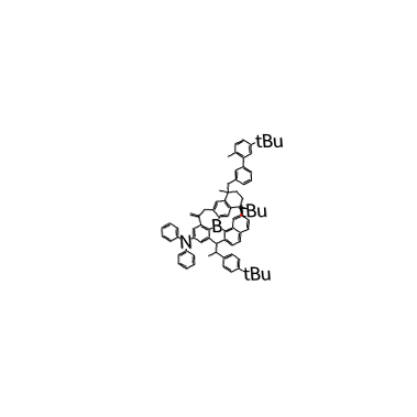 C=C1Cc2cc3c(cc2B2c4c1cc(N(c1ccccc1)c1ccccc1)cc4C(C(C)c1ccc(C(C)(C)C)cc1)c1ccc4ccc(C(C)(C)C)cc4c12)C(C)(C)CCC3(C)Cc1cccc(-c2cc(C(C)(C)C)ccc2C)c1